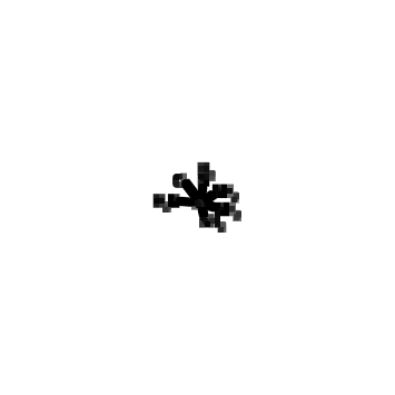 [NH2][Ru]([NH2])([NH2])([NH2])([NH2])[Cl]